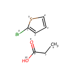 Brc1cccs1.CCC(=O)O